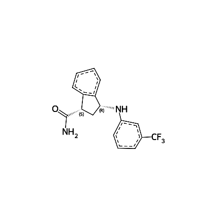 NC(=O)[C@H]1C[C@@H](Nc2cccc(C(F)(F)F)c2)c2ccccc21